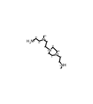 CNCCN1CCN(CCN(C)CCN)CC1